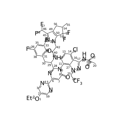 CCOc1cnc(-c2cc(=O)n(-c3ccc(Cl)c4c(NS(C)(=O)=O)nn(CC(F)(F)F)c34)c(C(Cc3cc(F)cc(F)c3)NC(=O)Cn3nc(C(F)F)c4c3C(F)(F)C(C)C4)n2)nc1